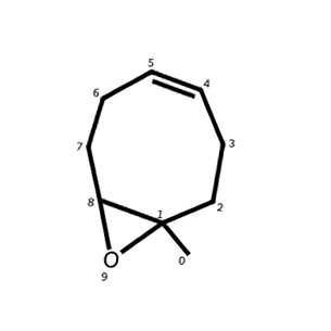 CC12CCC=CCCC1O2